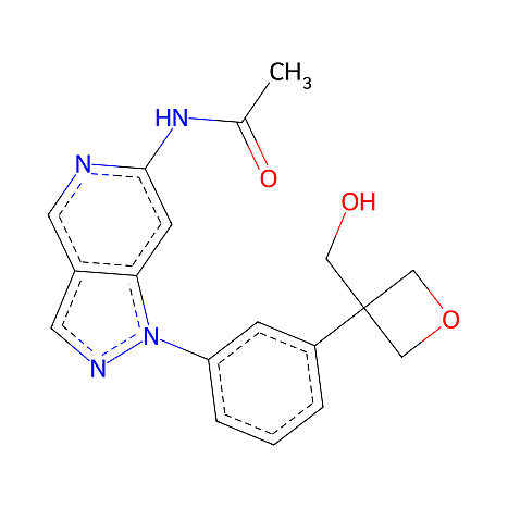 CC(=O)Nc1cc2c(cn1)cnn2-c1cccc(C2(CO)COC2)c1